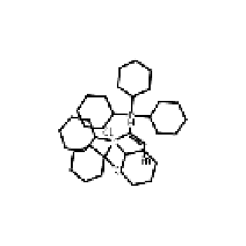 CC(C)(C)C=C([PH](C1CCCCC1)(C1CCCCC1)C1CCCCC1)P(Cl)(C1CCCCC1)(C1CCCCC1)C1(Cl)CCCCC1